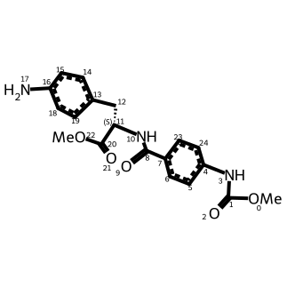 COC(=O)Nc1ccc(C(=O)N[C@@H](Cc2ccc(N)cc2)C(=O)OC)cc1